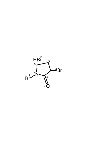 Br.O=C1C(Br)CCN1Br